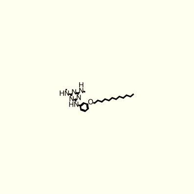 CCCCCCCCCCCCOc1cccc(Nc2nc(NC)nc(NC)n2)c1